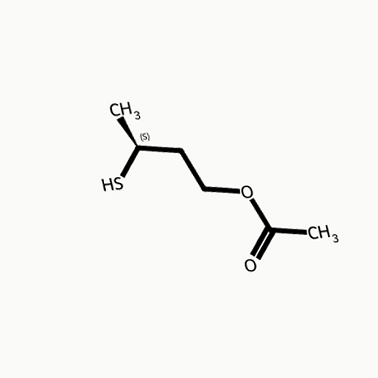 CC(=O)OCC[C@H](C)S